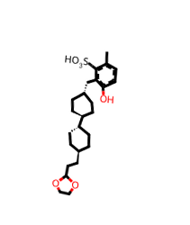 Cc1ccc(O)c(C[C@H]2CC[C@H]([C@H]3CC[C@H](CCC4OCCO4)CC3)CC2)c1S(=O)(=O)O